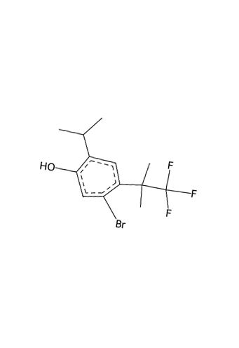 CC(C)c1cc(C(C)(C)C(F)(F)F)c(Br)cc1O